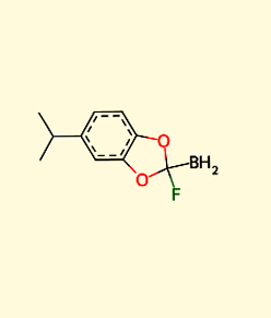 BC1(F)Oc2ccc(C(C)C)cc2O1